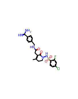 CC1=C(CC(=O)NCc2ccc(C(=N)N)cc2)C(=O)N(NS(=O)(=O)c2ccc(Cl)cc2F)CC1